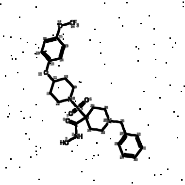 O=C(NO)C1(S(=O)(=O)N2CCC(Oc3ccc(OC(F)(F)F)cc3)CC2)CCN(Cc2ccccc2)CC1